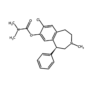 CN1CCc2cc(Cl)c(OC(=O)N(C)C)cc2[C@H](c2ccccc2)C1